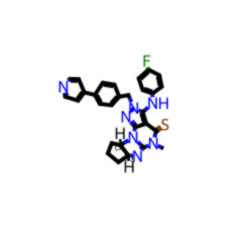 CN1C(=S)c2c(nn(Cc3ccc(-c4ccncc4)cc3)c2Nc2ccc(F)cc2)N2C1=N[C@@H]1CCC[C@@H]12